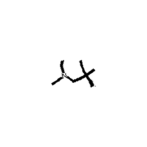 [CH2]C(C)(C)CN(C)C